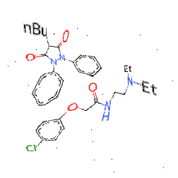 CCCCC1C(=O)N(c2ccccc2)N(c2ccccc2)C1=O.CCN(CC)CCNC(=O)COc1ccc(Cl)cc1